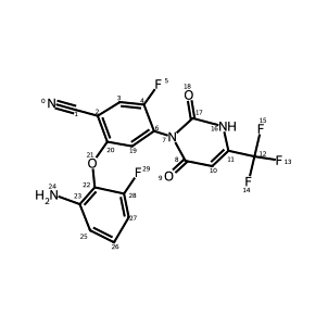 N#Cc1cc(F)c(-n2c(=O)cc(C(F)(F)F)[nH]c2=O)cc1Oc1c(N)cccc1F